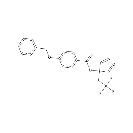 C=CC(C=O)(CC(F)(F)F)OC(=O)c1ccc(OCc2ccccc2)cc1